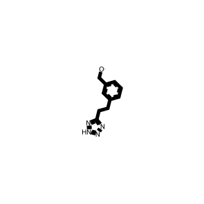 [O]Cc1cccc(CCc2nn[nH]n2)c1